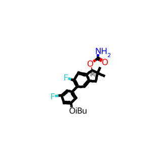 CC(C)COc1cc(F)cc(-c2cc3c(cc2F)[C@H](OC(N)=O)C(C)(C)C3)c1